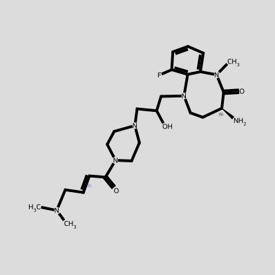 CN(C)C/C=C/C(=O)N1CCN(CC(O)CN2CC[C@H](N)C(=O)N(C)c3cccc(F)c32)CC1